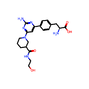 Nc1nc(-c2ccc(C[C@H](N)C(=O)O)cc2)cc(N2CCCC(C(=O)NCCO)C2)n1